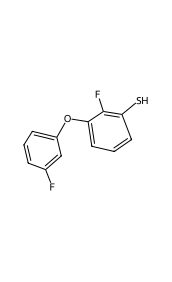 Fc1cccc(Oc2cccc(S)c2F)c1